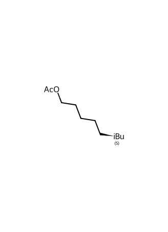 CC[C@H](C)CCCCCOC(C)=O